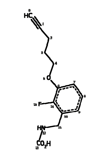 C#CCCCOc1cccc(CNC(=O)O)c1F